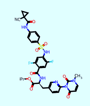 CC(C)OC(=O)[C@H](Cc1ccc(-n2c(=O)ccn(C)c2=O)nc1)NC(=O)c1cc(F)c(NS(=O)(=O)c2ccc(NC(=O)C3(C#N)CC3)cc2)cc1F